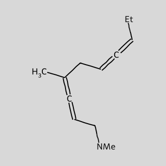 CCC=C=CCC(C)=C=CCNC